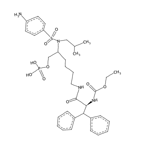 CCOC(=O)N[C@H](C(=O)NCCCCC(COP(=O)(O)O)N(CC(C)C)S(=O)(=O)c1ccc(N)cc1)C(c1ccccc1)c1ccccc1